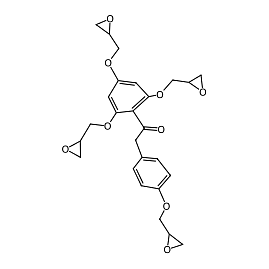 O=C(Cc1ccc(OCC2CO2)cc1)c1c(OCC2CO2)cc(OCC2CO2)cc1OCC1CO1